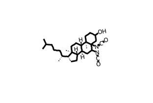 CC(C)CCC[C@@H](C)[C@H]1CC[C@H]2[C@@H]3CC(N=C=O)C4(N=C=O)CC(O)CC[C@]4(C)[C@H]3CC[C@]12C